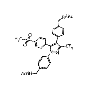 CC(=O)NCc1ccc(-c2c(C(F)(F)F)nn(-c3ccc(CNC(C)=O)cc3)c2-c2ccc(S(C)(=O)=O)cc2)cc1